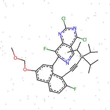 COCOc1cc(-c2ncc3c(Cl)nc(Cl)nc3c2F)c2c(C#C[Si](C(C)C)(C(C)C)C(C)C)c(F)ccc2c1